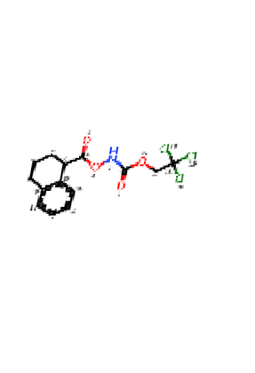 O=C(NOC(=O)C1CCCc2ccccc21)OCC(Cl)(Cl)Cl